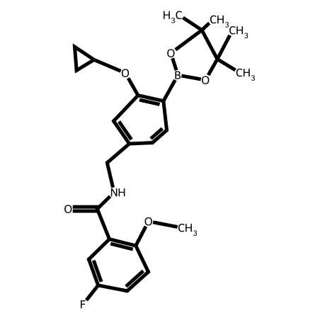 COc1ccc(F)cc1C(=O)NCc1ccc(B2OC(C)(C)C(C)(C)O2)c(OC2CC2)c1